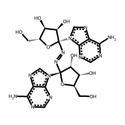 Nc1ncnc2c1ncn2[C@]1(N=N[C@@]2(n3cnc4c(N)ncnc43)O[C@H](CO)[C@@H](O)[C@H]2O)O[C@H](CO)[C@@H](O)[C@H]1O